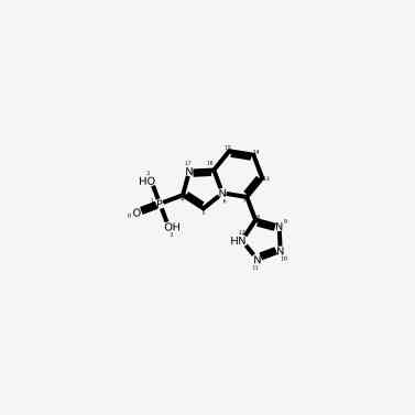 O=P(O)(O)c1cn2c(-c3nnn[nH]3)cccc2n1